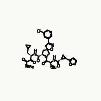 CNC(=O)C(=O)[C@H](CC1CC1)NC(=O)[C@@H]1C[C@]2(CC(c3cccc(Cl)c3)=NO2)CN1C(=O)[C@@H](NC(=O)[C@@H]1C[C@H]1c1ccco1)C(C)(C)C